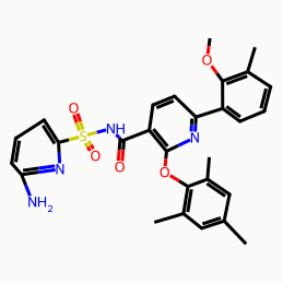 COc1c(C)cccc1-c1ccc(C(=O)NS(=O)(=O)c2cccc(N)n2)c(Oc2c(C)cc(C)cc2C)n1